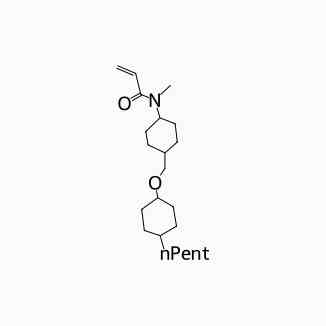 C=CC(=O)N(C)C1CCC(COC2CCC(CCCCC)CC2)CC1